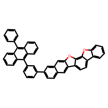 c1ccc(-c2c3ccccc3c(-c3cccc(-c4ccc5cc6c(cc5c4)oc4c6ccc5c6ccccc6oc54)c3)c3ccccc23)cc1